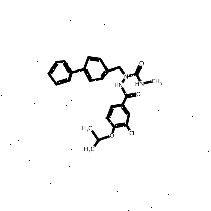 CNC(=O)N(Cc1ccc(-c2ccccc2)cc1)NC(=O)c1ccc(OC(C)C)c(Cl)c1